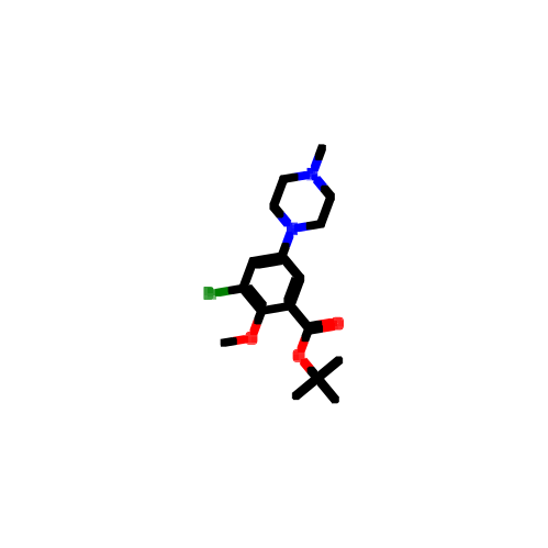 COc1c(Br)cc(N2CCN(C)CC2)cc1C(=O)OC(C)(C)C